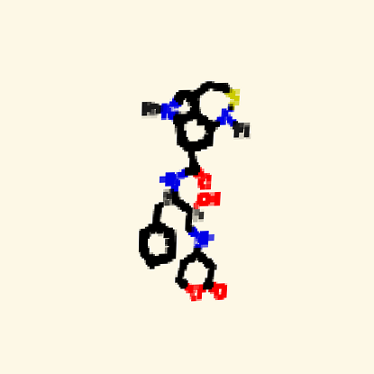 CCN1SCCc2cn(CC)c3cc(C(=O)N[C@@H](Cc4ccccc4)[C@H](O)CNC4CCOC(=O)C4)cc1c23